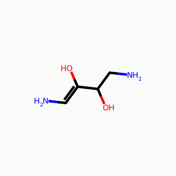 NC=C(O)C(O)CN